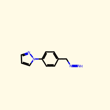 N=NCc1ccc(-n2cccn2)cc1